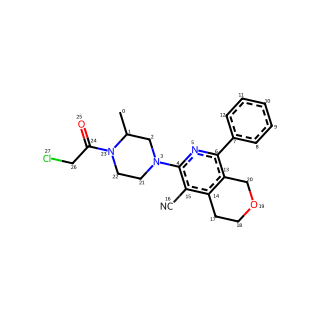 CC1CN(c2nc(-c3ccccc3)c3c(c2C#N)CCOC3)CCN1C(=O)CCl